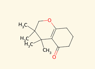 CC1(C)COC2=C(C(=O)CCC2)C1(C)C